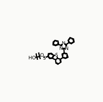 CC(C)(O)C(C)(C)OSc1ccc2c(c1)C1C=CC=C(c3cccc(-c4nc(-c5ccccc5)nc(-c5ccccc5)n4)c3)C1S2